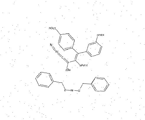 CCCCCCCCc1ccc(C(=C(CCCCC)C(=C=[N+]=[N-])CCCC)c2cccc(CCCCCC)c2)cc1.c1ccc(C[O][Ni][O]Cc2ccccc2)cc1